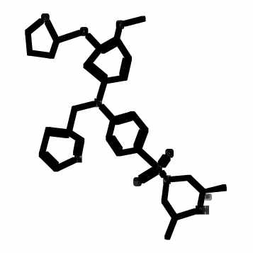 COc1ccc(N(Cc2cccnc2)c2ccc(S(=O)(=O)N3CC(C)N[C@H](C)C3)cc2)cc1OC1CCCO1